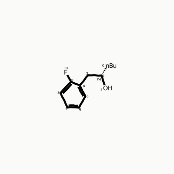 CCCC[C@H](O)Cc1ccccc1F